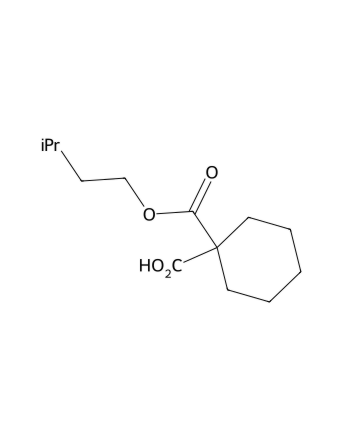 CC(C)CCOC(=O)C1(C(=O)O)CCCCC1